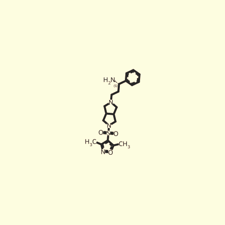 Cc1noc(C)c1S(=O)(=O)N1CC2CN(CC[C@H](N)c3ccccc3)CC2C1